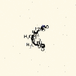 CC(C)(CNC(=O)CCCNC(=O)/C=C\C=O)COCC(C)(C)CC(=O)ON1C(=O)CCC1=O